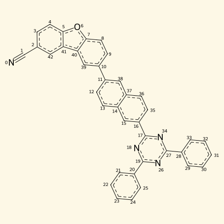 N#Cc1ccc2oc3ccc(-c4ccc5cc(-c6nc(-c7ccccc7)nc(-c7ccccc7)n6)ccc5c4)cc3c2c1